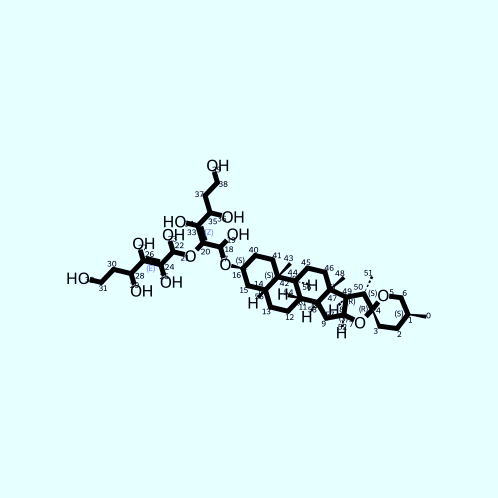 C[C@H]1CC[C@@]2(OC1)O[C@H]1C[C@H]3[C@@H]4CC[C@@H]5C[C@@H](OC(O)/C(OC(O)/C(O)=C(\O)C(O)CCO)=C(/O)C(O)CCO)CC[C@]5(C)[C@H]4CC[C@]3(C)[C@H]1[C@@H]2C